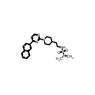 CN(C)S(=O)(=O)NCCC1CCN(c2nccc(-c3ccc4ccccc4c3)n2)CC1